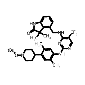 Cc1cc(C2CCN(OC(C)(C)C)CC2)c(C)cc1Nc1ncc(C(F)(F)F)c(NCc2cccc3c2C(C)(C)C(=O)N3)n1